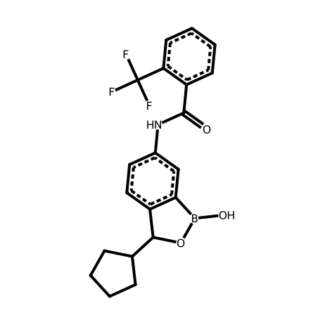 O=C(Nc1ccc2c(c1)B(O)OC2C1CCCC1)c1ccccc1C(F)(F)F